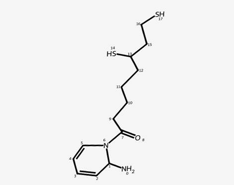 NC1C=CC=CN1C(=O)CCCCC(S)CCS